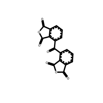 O=C1OC(=O)c2c1cccc2C(=O)c1cccc2c1C(=O)OC2=O